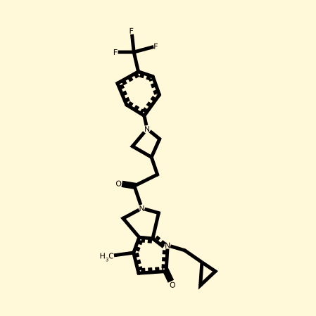 Cc1cc(=O)n(CC2CC2)c2c1CN(C(=O)CC1CN(c3ccc(C(F)(F)F)cc3)C1)C2